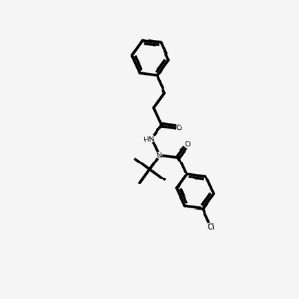 CC(C)(C)N(NC(=O)CCc1ccccc1)C(=O)c1ccc(Cl)cc1